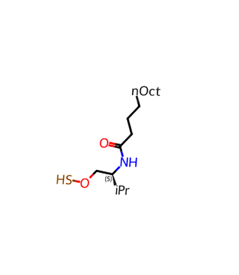 CCCCCCCCCCCC(=O)N[C@H](COS)C(C)C